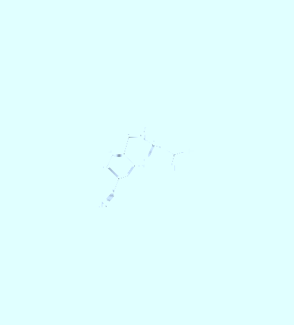 CC(C)CC(=O)N(C)Cc1ccc(C#N)cc1